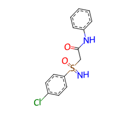 N=S(=O)(CC(=O)Nc1ccccc1)c1ccc(Cl)cc1